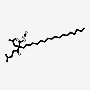 CCCCCCCCCCCCCCCCCCC(CC(C)C)(C(=O)CCC(C)C)C(=O)[O][Al]=[O]